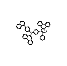 c1ccc(-c2oc3c4ccccc4c4ccccc4c3c2-c2ccc(N(c3ccc(-c4cccc5ccccc45)cc3)c3cc4ccccc4c4ccccc34)cc2)cc1